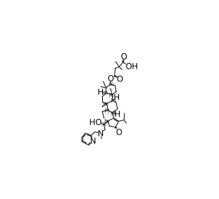 CC(C)C1=C2[C@H]3CC[C@@H]4[C@@]5(C)CC[C@H](OC(=O)CC(C)(C)C(=O)O)C(C)(C)[C@@H]5CC[C@@]4(C)[C@]3(C)CC[C@@]2([C@@H](O)CN(C)Cc2ccccn2)CC1=O